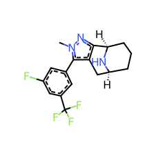 Cn1nc2c(c1-c1cc(F)cc(C(F)(F)F)c1)C[C@@H]1CCC[C@H]2N1